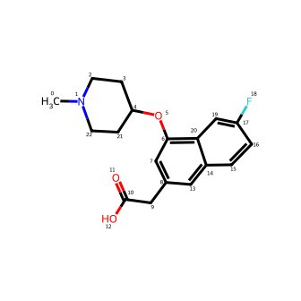 CN1CCC(Oc2cc(CC(=O)O)cc3ccc(F)cc23)CC1